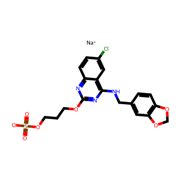 O=S(=O)([O-])OCCCOc1nc(NCc2ccc3c(c2)OCO3)c2cc(Cl)ccc2n1.[Na+]